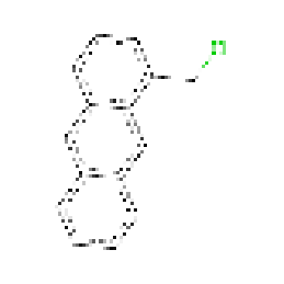 ClCc1cccc2cc3ccccc3cc12